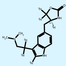 [2H]c1[nH]c2ccc(C[C@]3([2H])NC(=O)OC3([2H])[2H])cc2c1C([2H])([2H])CN(C)C